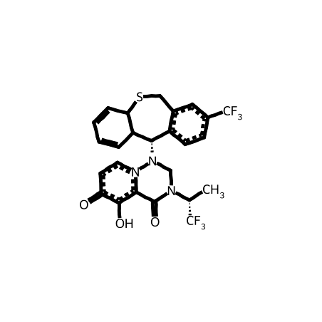 C[C@@H](N1CN([C@H]2c3ccc(C(F)(F)F)cc3CSC3C=CC=CC32)n2ccc(=O)c(O)c2C1=O)C(F)(F)F